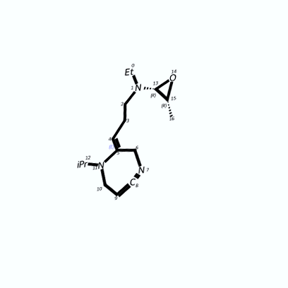 CCN(CC/C=C1\CN=C=CCN1C(C)C)[C@@H]1O[C@@H]1C